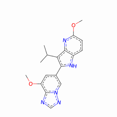 COc1ccc2[nH]c(-c3cc(OC)c4ncnn4c3)c(C(C)C)c2n1